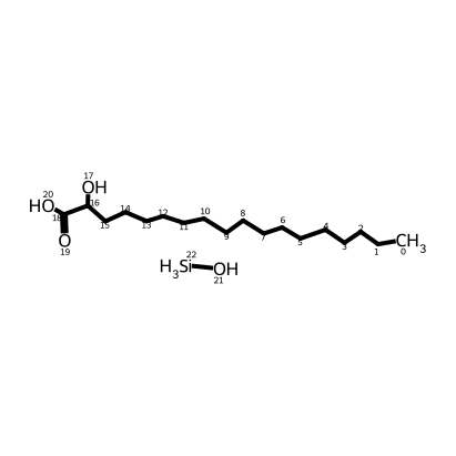 CCCCCCCCCCCCCCCCC(O)C(=O)O.O[SiH3]